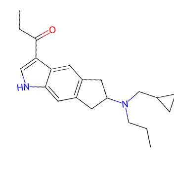 CCCN(CC1CC1)C1Cc2cc3[nH]cc(C(=O)CC)c3cc2C1